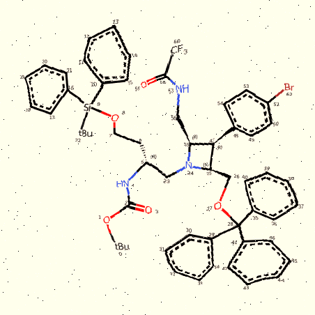 CC(C)(C)OC(=O)N[C@H](CCO[Si](c1ccccc1)(c1ccccc1)C(C)(C)C)CN1[C@H](COC(c2ccccc2)(c2ccccc2)c2ccccc2)[C@H](c2ccc(Br)cc2)[C@@H]1CNC(=O)C(F)(F)F